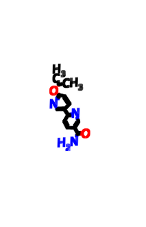 CC(C)Oc1ccc(-c2ccc(C(N)=O)cn2)cn1